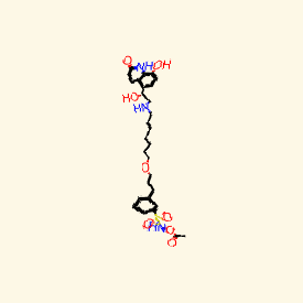 CC(=O)ONS(=O)(=O)c1cccc(CCCOCCCCCCCNC[C@@H](O)c2ccc(O)c3[nH]c(=O)ccc23)c1